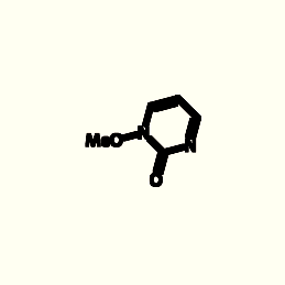 COn1cccnc1=O